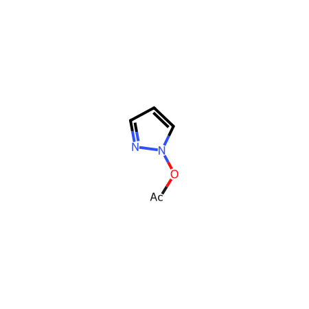 CC(=O)On1cccn1